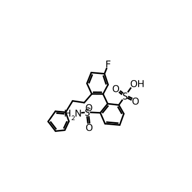 NS(=O)(=O)c1cccc(S(=O)(=O)O)c1-c1cc(F)ccc1CCc1ccccc1